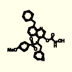 COc1ccc(S(=O)(=O)N(Cc2cccnc2)c2c(OC(=O)NO)cnc3c(Cc4ccccc4)cccc23)cc1